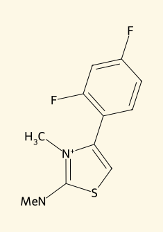 CNc1scc(-c2ccc(F)cc2F)[n+]1C